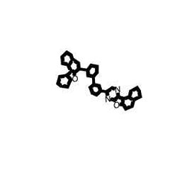 c1cc(-c2cccc(-c3cc4ccccc4c4c3oc3ccccc34)c2)cc(-c2cnc3c(n2)oc2ccc4ccccc4c23)c1